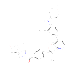 COc1cc(C(=O)N2C[C@H]3CC(O)C[C@H]3C2)ccc1-c1cc2nccc(-c3ccc(NC4CCOCC4)c(C#N)c3)c2o1